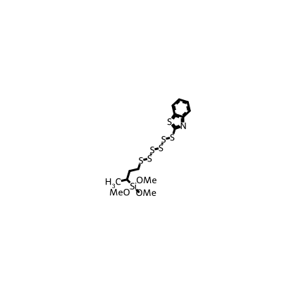 CO[Si](OC)(OC)C(C)CCSSSSSSc1nc2ccccc2s1